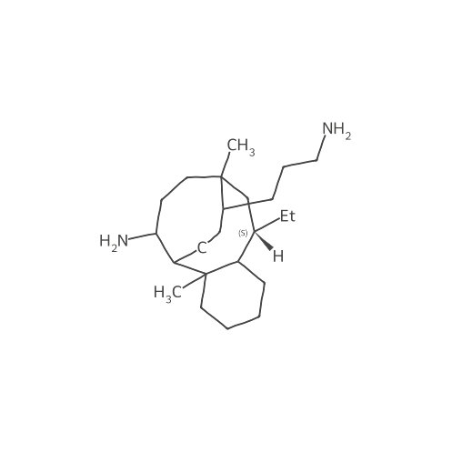 CC[C@H]1CC2(C)CCC(N)C(CCC2CCCN)C2(C)CCCCC12